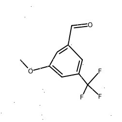 COc1cc(C=O)cc(C(F)(F)F)c1